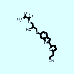 C=C(C)C(=O)OCC(O)CSc1ccc2cc(-c3ccc(CCO)o3)oc2c1